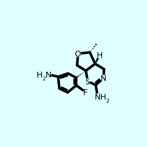 C[C@H]1OC[C@]2(c3cc(N)ccc3F)SC(N)=NC[C@@H]12